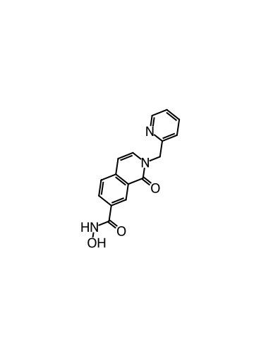 O=C(NO)c1ccc2ccn(Cc3ccccn3)c(=O)c2c1